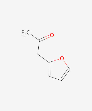 O=C(Cc1ccco1)C(F)(F)F